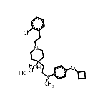 CN(CCC1(O)CCN(CCc2ccccc2Cl)CC1)c1ccc(OC2CCC2)cc1.Cl.Cl